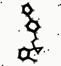 Oc1ccccc1C1(COc2ccc(-n3cccc3)cc2)CC1